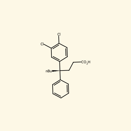 CCCC[C@@](CCC(=O)O)(c1ccccc1)c1ccc(Cl)c(Cl)c1